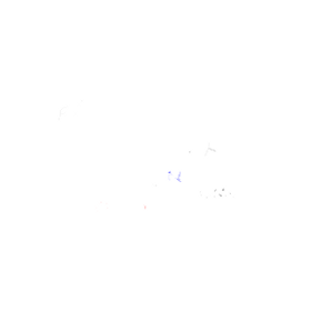 CCOc1cc(C(F)(F)F)ccc1C(=O)N(C)OC